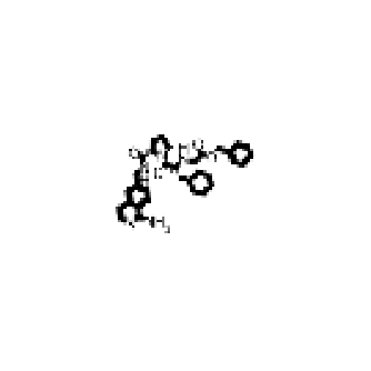 Nc1nccc2cc(CNC(=O)[C@@H]3CCCN3C(=O)[C@@H](CC3CCCCC3)NCC(=O)OCc3ccccc3)ccc12